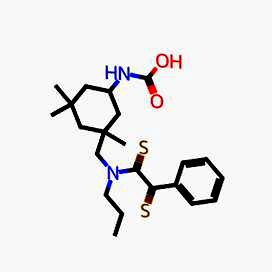 CCCN(CC1(C)CC(NC(=O)O)CC(C)(C)C1)C(=S)C(=S)c1ccccc1